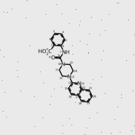 O=C(O)c1ccccc1NC(=O)N1CCN(c2ccc3ccccc3n2)CC1